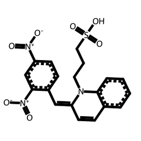 O=[N+]([O-])c1ccc(C=C2C=Cc3ccccc3N2CCCS(=O)(=O)O)c([N+](=O)[O-])c1